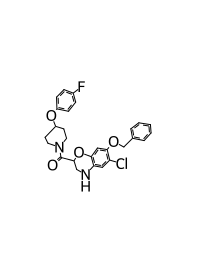 O=C(C1CNc2cc(Cl)c(OCc3ccccc3)cc2O1)N1CCC(Oc2ccc(F)cc2)CC1